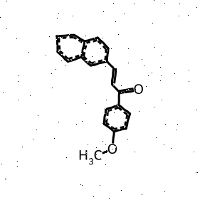 COc1ccc(C(=O)C=Cc2ccc3ccccc3c2)cc1